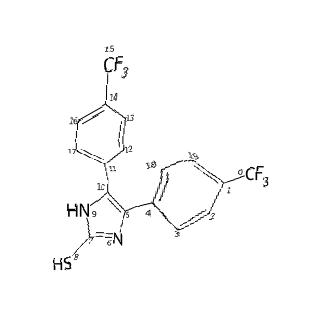 FC(F)(F)c1ccc(-c2nc(S)[nH]c2-c2ccc(C(F)(F)F)cc2)cc1